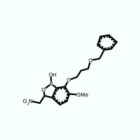 COc1ccc2c(c1OCCCOCc1ccccc1)B(O)OC2C[N+](=O)[O-]